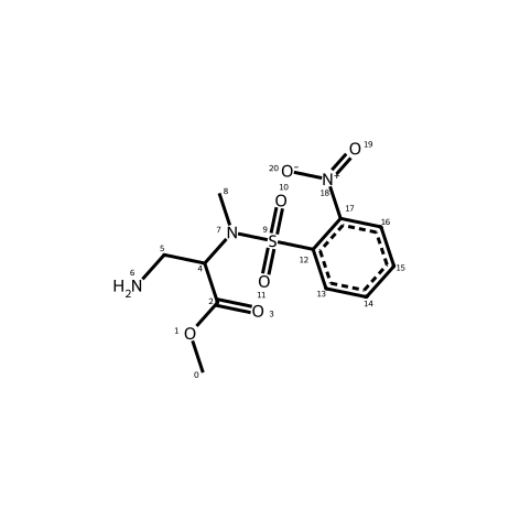 COC(=O)C(CN)N(C)S(=O)(=O)c1ccccc1[N+](=O)[O-]